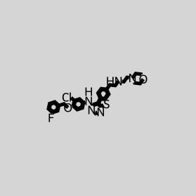 Fc1cccc(COc2ccc(Nc3ncnc4sc5cc(CCNCCN6CCOCC6)ccc5c34)cc2Cl)c1